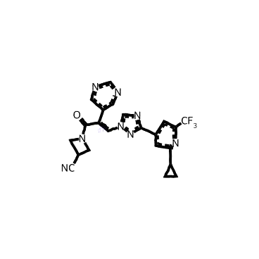 N#CC1CN(C(=O)/C(=C/n2cnc(-c3cc(C4CC4)nc(C(F)(F)F)c3)n2)c2cncnc2)C1